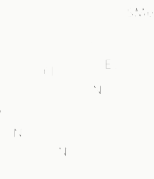 C=CN(C)/C(=C\C)C(c1ccc2nc(CC)c(Cc3ccc(SC)cc3)c(Cl)c2c1)C1C=CC=CN1C